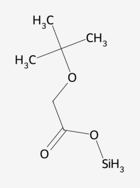 CC(C)(C)OCC(=O)O[SiH3]